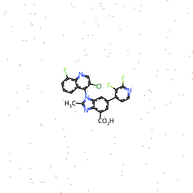 Cc1nc2c(C(=O)O)cc(-c3ccnc(F)c3F)cc2n1-c1c(Cl)cnc2c(F)cccc12